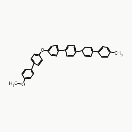 COc1ccc(-c2ccc(Oc3ccc(-c4ccc(C5C=CC(c6ccc(C)cc6)=CC5)cc4)cc3)cc2)cc1